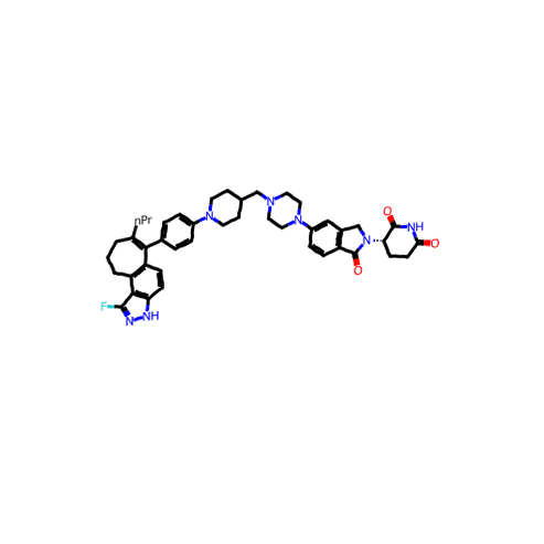 CCCC1=C(c2ccc(N3CCC(CN4CCN(c5ccc6c(c5)CN([C@H]5CCC(=O)NC5=O)C6=O)CC4)CC3)cc2)c2ccc3[nH]nc(F)c3c2CCC1